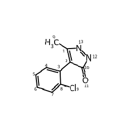 CC1=C(c2ccccc2Cl)C(=O)N=N1